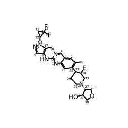 Cc1cc2cnc(Nc3cnn(C4CC4(F)F)c3C)nc2cc1C1CCN([C@@H]2COCC2O)CC1F